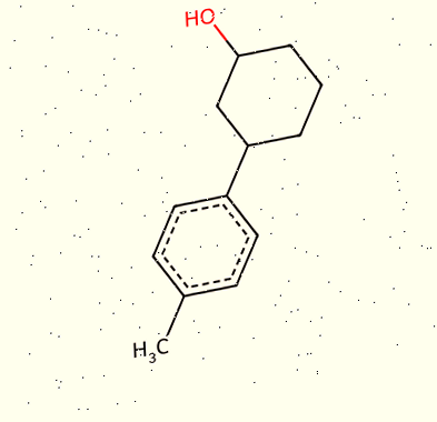 Cc1ccc(C2CCCC(O)C2)cc1